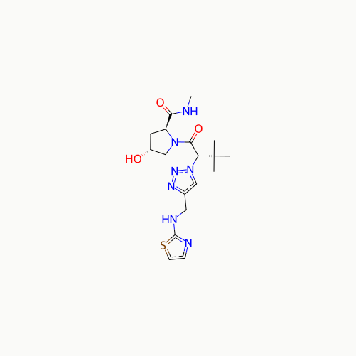 CNC(=O)[C@@H]1C[C@@H](O)CN1C(=O)[C@@H](n1cc(CNc2nccs2)nn1)C(C)(C)C